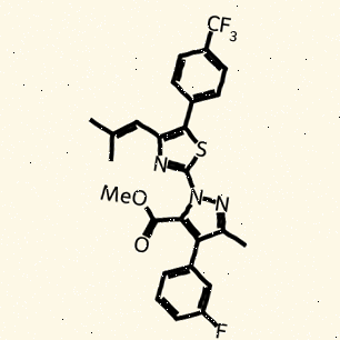 COC(=O)c1c(-c2cccc(F)c2)c(C)nn1-c1nc(C=C(C)C)c(-c2ccc(C(F)(F)F)cc2)s1